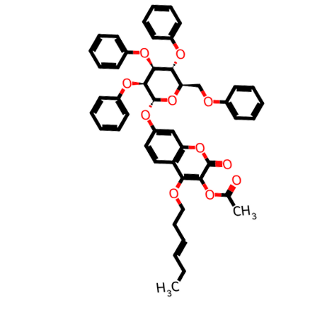 CC/C=C/CCOc1c(OC(C)=O)c(=O)oc2cc(O[C@H]3O[C@H](COc4ccccc4)[C@@H](Oc4ccccc4)[C@H](Oc4ccccc4)[C@@H]3Oc3ccccc3)ccc12